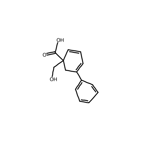 O=C(O)C1(CO)C=CC=C(c2ccccc2)C1